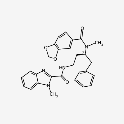 CN(C(=O)c1ccc2c(c1)OCO2)[C@H](CCNC(=O)c1nc2ccccc2n1C)Cc1ccccc1